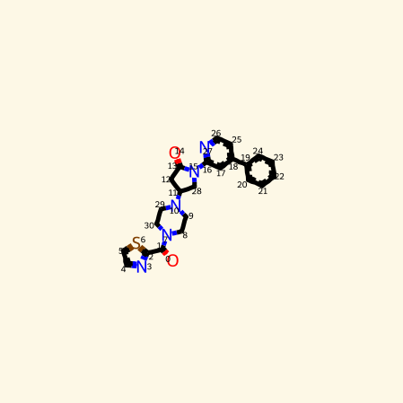 O=C(c1nccs1)N1CCN(C2CC(=O)N(c3cc(-c4ccccc4)ccn3)C2)CC1